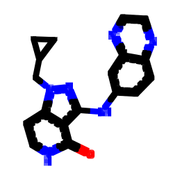 O=c1[nH]ccc2c1c(Nc1ccc3nccnc3c1)nn2CC1CC1